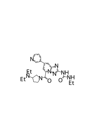 CCNC(=O)Nc1nc2cc(-c3cccnc3)cc(C(=O)N3CCC(N(CC)CC)C3)n2n1